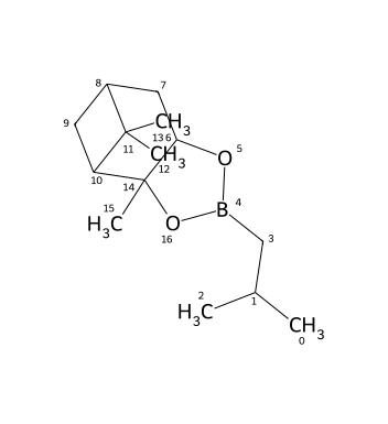 CC(C)CB1OC2CC3CC(C3(C)C)C2(C)O1